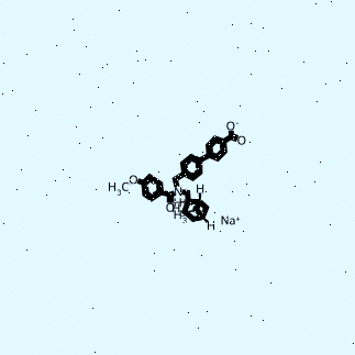 COc1ccc(C(=O)N(Cc2ccc(-c3ccc(C(=O)[O-])cc3)cc2)C[C@@H]2CC[C@H]3C[C@@H]2C3(C)C)cc1.[Na+]